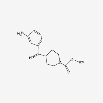 CC(C)(C)OC(=O)N1CCC(C(=N)c2cccc(N)c2)CC1